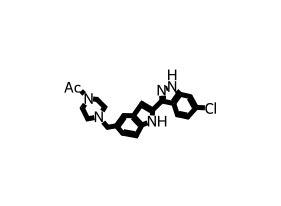 CC(=O)N1CCN(Cc2ccc3[nH]c(-c4n[nH]c5cc(Cl)ccc45)cc3c2)CC1